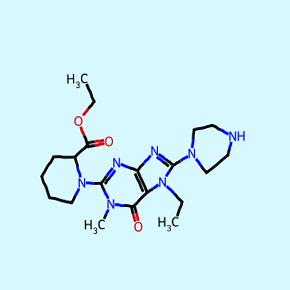 CCOC(=O)C1CCCCN1c1nc2nc(N3CCNCC3)n(CC)c2c(=O)n1C